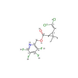 CC1(C)C(C=C(Cl)Cl)C1C(=O)OCc1nc(F)c(F)c(F)c1F